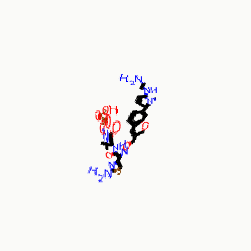 C[n+]1cc(-c2ccc3c(c2)OCC(CO/N=C(\C(=O)N[C@@H]2C(=O)N(OS(=O)(=O)O)C2(C)C)c2csc(N)n2)C3)ccc1NCCN